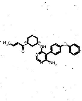 CC=CC(=O)[C@H]1CCC[C@H](Nc2ncnc(N)c2-c2ccc(Oc3ccccc3)cc2)C1